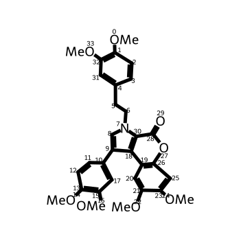 COc1ccc(CCn2cc(-c3ccc(OC)c(OC)c3)c3c4cc(OC)c(OC)cc4oc(=O)c32)cc1OC